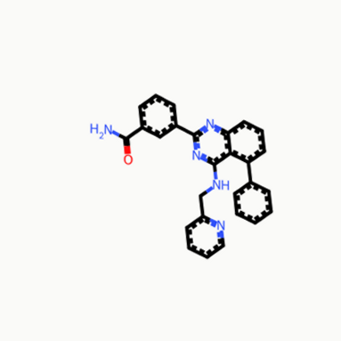 NC(=O)c1cccc(-c2nc(NCc3ccccn3)c3c(-c4ccccc4)cccc3n2)c1